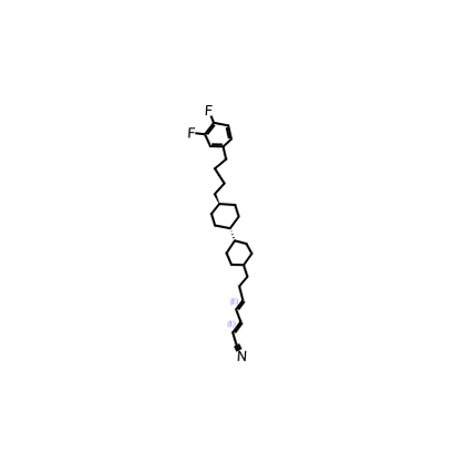 N#C/C=C/C=C/CCC1CCC([C@H]2CC[C@H](CCCCc3ccc(F)c(F)c3)CC2)CC1